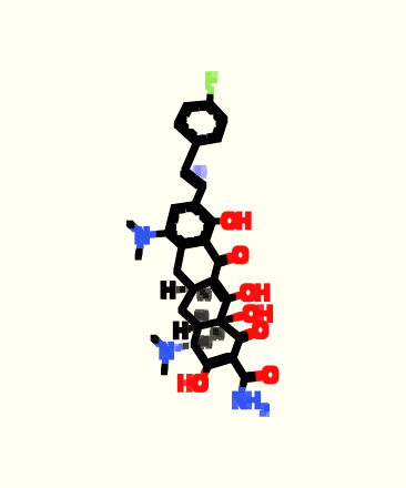 CN(C)c1cc(/C=C/c2ccc(F)cc2)c(O)c2c1C[C@@H]1C[C@@H]3[C@@H](N(C)C)C(O)=C(C(N)=O)C(=O)[C@@]3(O)C(O)=C1C2=O